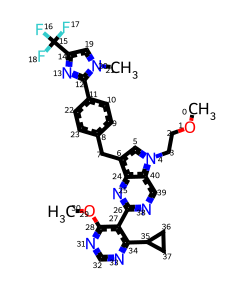 COCCn1cc(Cc2ccc(-c3nc(C(F)(F)F)cn3C)cc2)c2nc(-c3c(OC)ncnc3C3CC3)ncc21